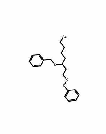 CC(=O)CCCCC(CCSSc1ccccc1)SCc1ccccc1